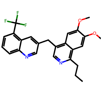 CCCc1ncc(Cc2cnc3cccc(C(F)(F)F)c3c2)c2cc(OC)c(OC)cc12